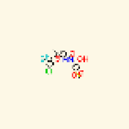 CCc1c(Cc2ccc(Cl)cc2C(F)(F)F)oc2cc(C(=O)N[C@H](CO)c3ccc(S(=O)(=O)CC)cc3)ccc12